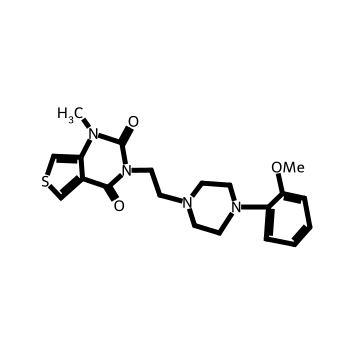 COc1ccccc1N1CCN(CCn2c(=O)c3cscc3n(C)c2=O)CC1